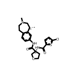 C[C@H]1CN(C)CCc2ccc(NC(=O)[C@@]3(NC(=O)c4ccc(Cl)s4)CCOC3)cc21